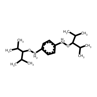 CC(C)C(O[SiH2]c1ccc([SiH2]OC(C(C)C)C(C)C)cc1)C(C)C